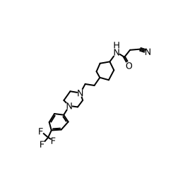 N#CCC(=O)NC1CCC(CCN2CCN(c3ccc(C(F)(F)F)cc3)CC2)CC1